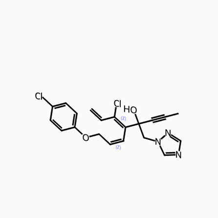 C=C/C(Cl)=C(\C=C/COc1ccc(Cl)cc1)C(O)(C#CC)Cn1cncn1